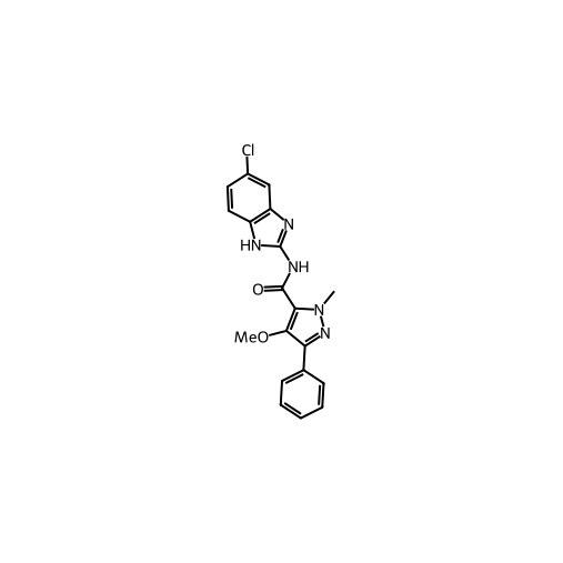 COc1c(-c2ccccc2)nn(C)c1C(=O)Nc1nc2cc(Cl)ccc2[nH]1